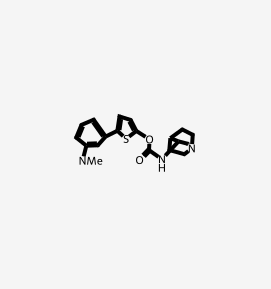 CNc1cccc(-c2ccc(OC(=O)NC3CN4CCC3CC4)s2)c1